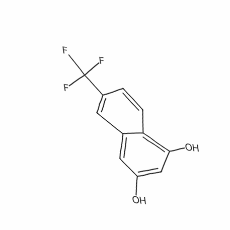 Oc1cc(O)c2ccc(C(F)(F)F)cc2c1